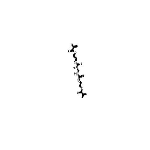 C=C(C)C(=O)OCCOC(=O)NCNC(=O)OCCOC(=O)C(=C)C